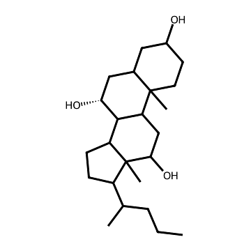 CCCC(C)C1CCC2C3C(CC(O)C12C)C1(C)CCC(O)CC1C[C@H]3O